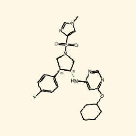 Cn1cnc(S(=O)(=O)N2C[C@H](Nc3cc(OC4CCCCC4)ncn3)[C@@H](c3ccc(F)cc3)C2)c1